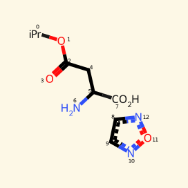 CC(C)OC(=O)CC(N)C(=O)O.c1cnon1